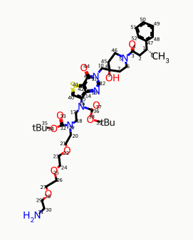 C[C@H](CC(=O)N1CCC(O)(Cn2cnc3c(N(CCN(CCOCCOCCOCCN)C(=O)OC(C)(C)C)C(=O)OC(C)(C)C)csc3c2=O)CC1)c1ccccc1